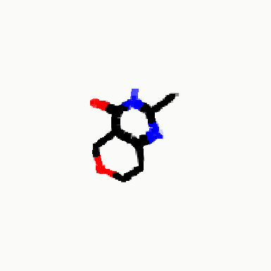 [CH2]c1nc2c(c(=O)[nH]1)COCC2